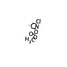 COC(=O)Oc1c[c]cc(Cl)n1